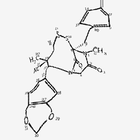 CN1C(=O)CN2C(=O)[C@@]1(Cc1ccccc1)SSC[C@](C)(C#N)C2c1ccc2c(c1)OCO2